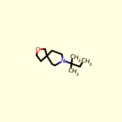 CCC(C)(C)N1CCC2(CCOC2)CC1